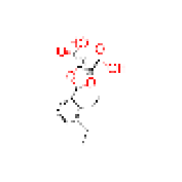 CCc1cccc(C2O[C@H](C(=O)O)[C@@H](C(=O)O)O2)c1CC